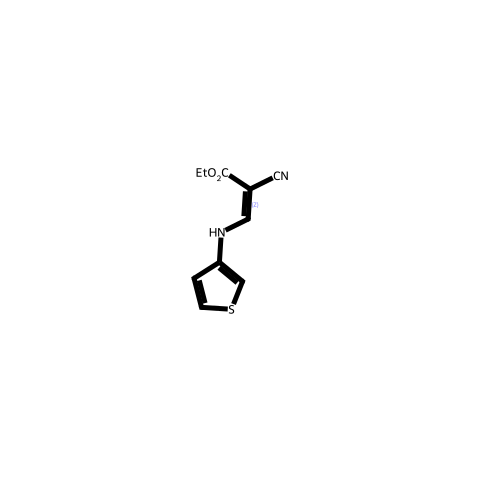 CCOC(=O)/C(C#N)=C\Nc1ccsc1